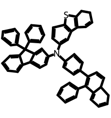 C1=CCC2C=CC(c3ccc(N(c4ccc5c(c4)C(c4ccccc4)(c4ccccc4)c4ccccc4-5)c4ccc5sc6c(c5c4)C=CCC6)cc3)=C(c3ccccc3)C2=C1